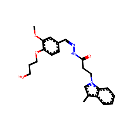 COc1cc(/C=N\NC(=O)CCn2cc(C)c3ccccc32)ccc1OCCCO